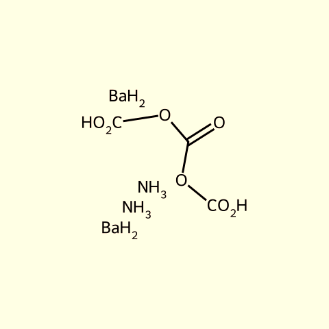 N.N.O=C(O)OC(=O)OC(=O)O.[BaH2].[BaH2]